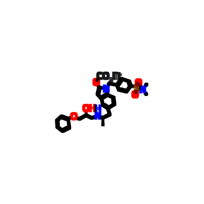 CCOC(=O)Oc1cc2cc(C[C@@H](C)NC[C@H](O)COc3ccccc3)ccc2n1Cc1ccc(S(=O)(=O)N(C)C)cc1